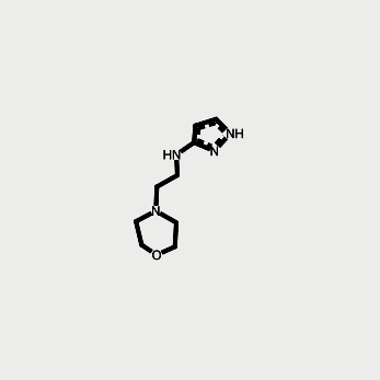 c1cc(NCCN2CCOCC2)n[nH]1